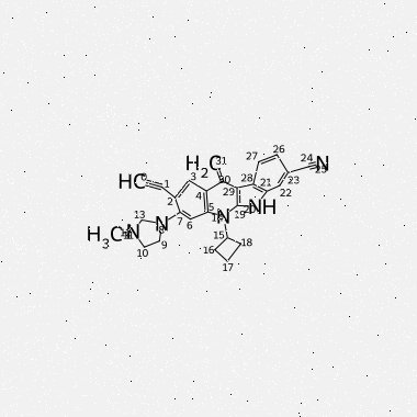 C#Cc1cc2c(cc1N1CCN(C)C1)N(C1CCC1)c1[nH]c3cc(C#N)ccc3c1C2=C